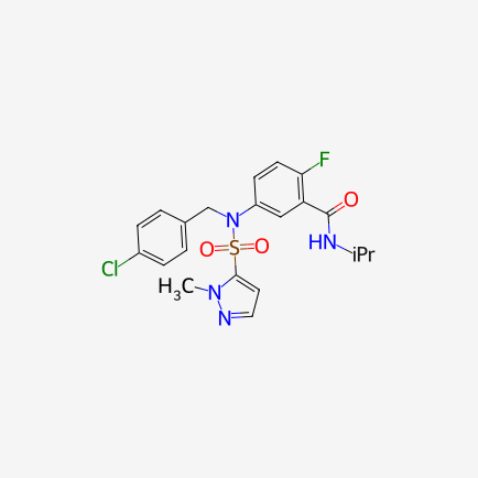 CC(C)NC(=O)c1cc(N(Cc2ccc(Cl)cc2)S(=O)(=O)c2ccnn2C)ccc1F